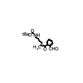 CN(CCCCNC(=O)OC(C)(C)C)C(=O)c1ccccc1C=O